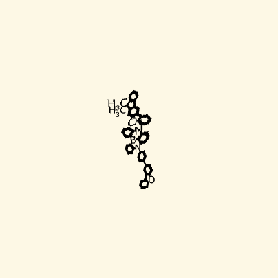 CC1(C)c2ccccc2-c2cc3c(cc21)oc1c(N2c4ccccc4B4c5ccccc5N(c5ccc(-c6ccc7oc8ccccc8c7c6)cc5)c5cccc2c54)cccc13